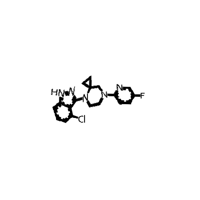 Fc1ccc(N2CCN(c3n[nH]c4cccc(Cl)c34)C3(CC3)C2)nc1